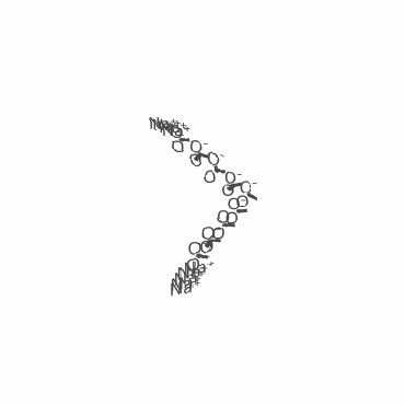 CC(=O)[O-].CC(=O)[O-].CC(=O)[O-].CC(=O)[O-].CC(=O)[O-].CC(=O)[O-].CC(=O)[O-].CC(=O)[O-].CC(=O)[O-].[Na+].[Na+].[Na+].[Na+].[Na+].[Na+].[Na+].[Na+].[Na+]